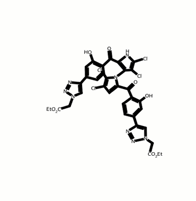 CCOC(=O)Cn1cc(-c2ccc(C(=O)c3[nH]c(Cl)c(Cl)c3-n3c(C(=O)c4ccc(-c5cn(CC(=O)OCC)nn5)cc4O)cc(Cl)c3Cl)c(O)c2)nn1